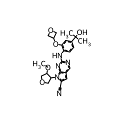 COC1COCC1n1c(C#N)cc2cnc(Nc3ccc(C(C)(C)O)cc3OC3COC3)nc21